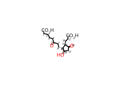 O=C(O)CCCCC(=O)CC[C@H]1[C@H](O)CC(=O)[C@@H]1CCC(=O)O